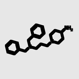 NC1CCN(CCCN(Cc2ccccc2)Cc2ccccc2)CC1